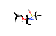 CCC(C)(N[S+]([O-])C(C)(C)C)OCC(C)C